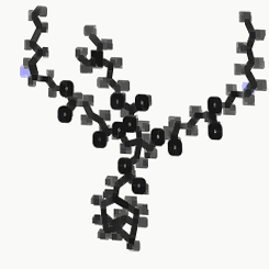 CCCCC/C=C\CCOC(=O)CCCC(=O)OCC(COC(=O)CCCC(=O)OCC/C=C\CCCCC)(COC(=O)CC12CC3CC4CC(C1)C4(C3)C2)COC(=O)OCCCN(CC)CC